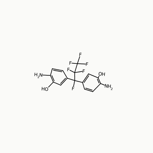 Nc1ccc(C(F)(c2ccc(N)c(O)c2)C(F)(F)C(F)(F)F)cc1O